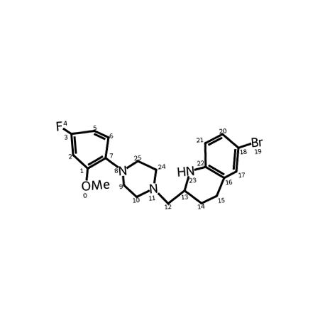 COc1cc(F)ccc1N1CCN(CC2CCc3cc(Br)ccc3N2)CC1